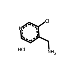 Cl.NCc1ccncc1Cl